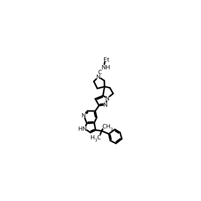 CCNCN1CCC2(CCn3nc(-c4cnc5[nH]cc(C(C)(C)c6ccccc6)c5c4)cc32)C1